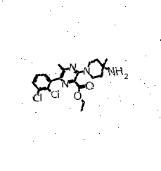 CCOC(=O)c1nc(-c2cccc(Cl)c2Cl)c(C)nc1N1CCC(C)(N)CC1